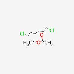 CCOC(C)=O.ClCCCCCCCl